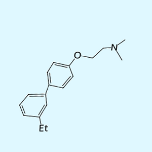 CCc1cccc(-c2ccc(OCCN(C)C)cc2)c1